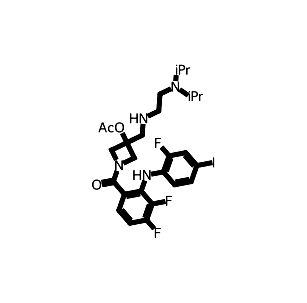 CC(=O)OC1(CNCCN(C(C)C)C(C)C)CN(C(=O)c2ccc(F)c(F)c2Nc2ccc(I)cc2F)C1